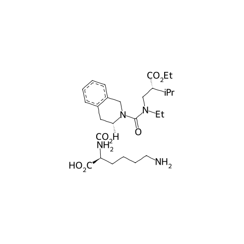 CCOC(=O)[C@@H](CN(CC)C(=O)N1Cc2ccccc2C[C@H]1C(=O)O)C(C)C.NCCCC[C@H](N)C(=O)O